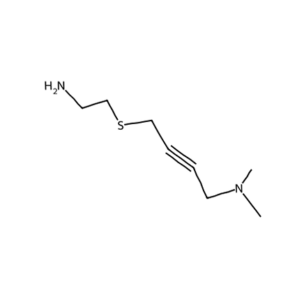 CN(C)CC#CCSCCN